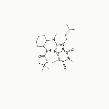 CC(C)=CCn1c(N(C)C2CCCCC2NC(=O)OC(C)(C)C)nc2c1c(=O)n(C)c(=O)n2C